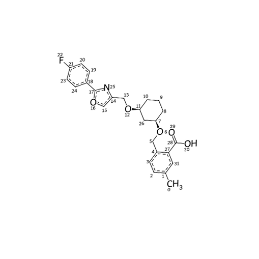 Cc1ccc(CO[C@@H]2CCC[C@H](OCc3coc(-c4ccc(F)cc4)n3)C2)c(C(=O)O)c1